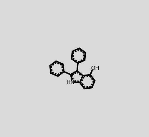 Oc1cccc2[nH]c(-c3ccccc3)c(-c3ccccc3)c12